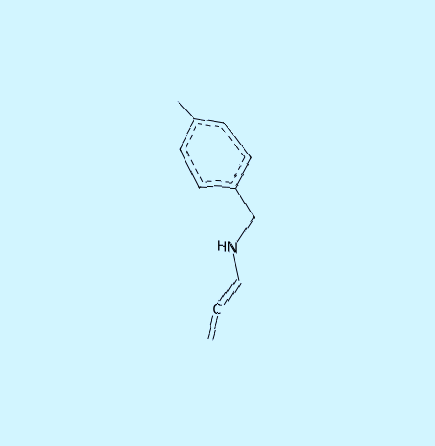 C=C=CNCc1ccc(C)cc1